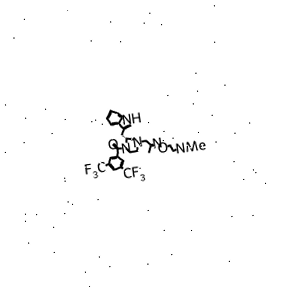 CNCCO/N=C(\C)CN1CCN(C(=O)c2cc(C(F)(F)F)cc(C(F)(F)F)c2)[C@H](Cc2c[nH]c3ccccc23)C1